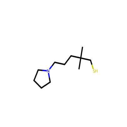 CC(C)(CS)CCCN1CCCC1